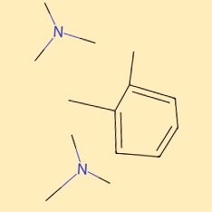 CN(C)C.CN(C)C.Cc1ccccc1C